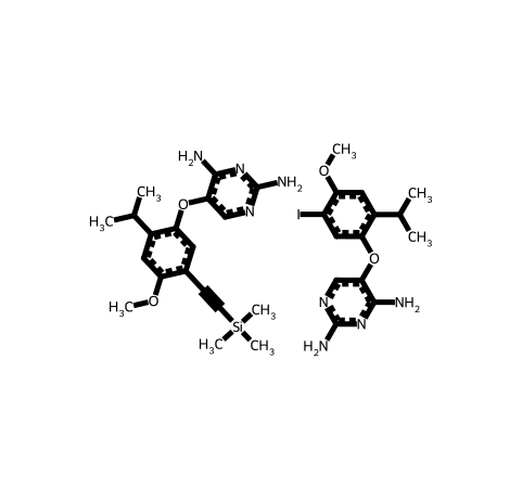 COc1cc(C(C)C)c(Oc2cnc(N)nc2N)cc1C#C[Si](C)(C)C.COc1cc(C(C)C)c(Oc2cnc(N)nc2N)cc1I